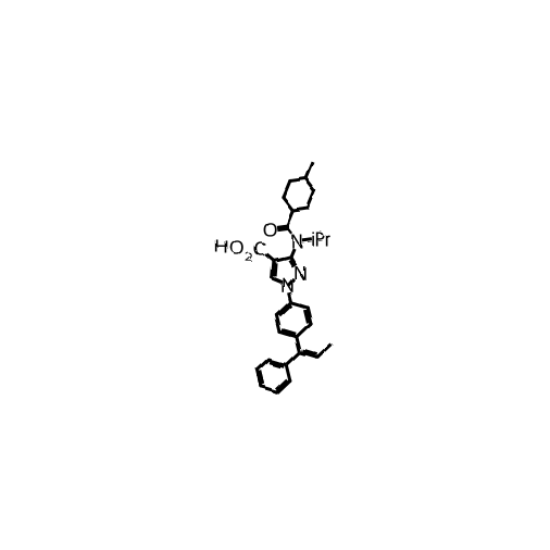 C/C=C(/c1ccccc1)c1ccc(-n2cc(C(=O)O)c(N(C(=O)C3CCC(C)CC3)C(C)C)n2)cc1